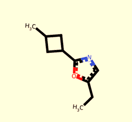 CCc1cnc(C2CC(C)C2)o1